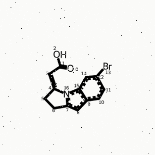 O=C(O)C=C1CCc2cc3ccc(Br)cc3n21